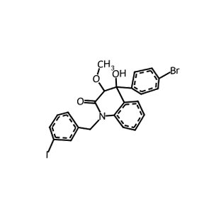 COC1C(=O)N(Cc2cccc(I)c2)c2ccccc2C1(O)c1ccc(Br)cc1